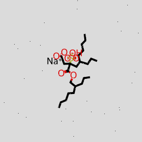 CCCCCC(CCC)COC(=O)C(CC(=O)[O-])(CC(CCC)CCCCC)S(=O)(=O)O.[Na+]